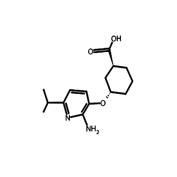 CC(C)c1ccc(O[C@H]2CCC[C@H](C(=O)O)C2)c(N)n1